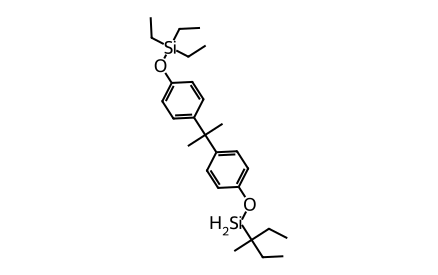 CCC(C)(CC)[SiH2]Oc1ccc(C(C)(C)c2ccc(O[Si](CC)(CC)CC)cc2)cc1